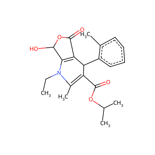 CCN1C(C)=C(C(=O)OC(C)C)C(c2ccccc2C)C2=C1C(O)OC2=O